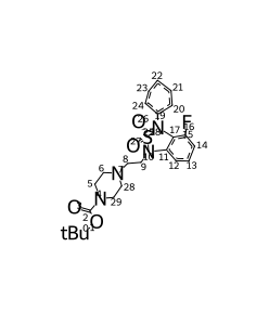 CC(C)(C)OC(=O)N1CCN(CCN2c3cccc(F)c3N(c3ccccc3)S2(=O)=O)CC1